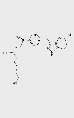 CN(CCOCCO)CCN(C)c1ccc(Cc2n[nH]c3ccc(Cl)cc23)cc1